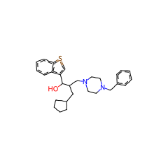 OC(c1csc2ccccc12)C(CC1CCCC1)CN1CCN(Cc2ccccc2)CC1